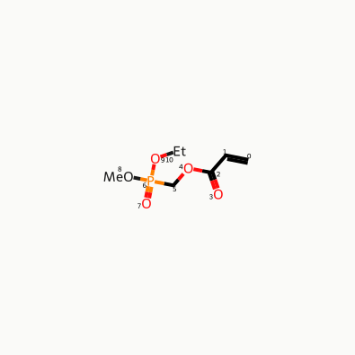 C=CC(=O)OCP(=O)(OC)OCC